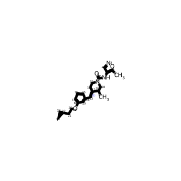 Cc1oncc1NC(=O)N1CC/C(=C\c2cccc(OCCC3CC3)c2)C(C)C1